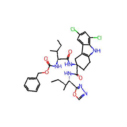 CCC(C)[C@H](NC(=O)OCc1ccccc1)C(=O)N[C@]1(C(=O)N[C@H](c2nnco2)C(C)CC)CCc2[nH]c3c(Cl)cc(Cl)cc3c2C1